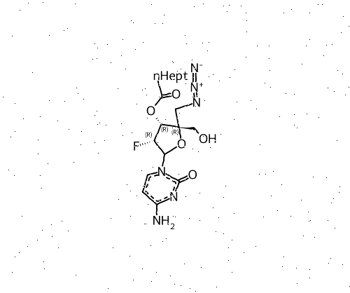 CCCCCCCC(=O)O[C@H]1[C@@H](F)C(n2ccc(N)nc2=O)O[C@@]1(CO)CN=[N+]=[N-]